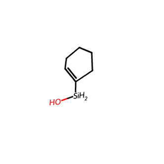 O[SiH2]C1=CCCCC1